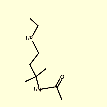 CCPCCC(C)(C)NC(C)=O